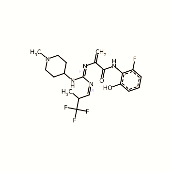 C=C(/N=C(\N=C/C(C)C(F)(F)F)NC1CCN(C)CC1)C(=O)Nc1c(O)cccc1F